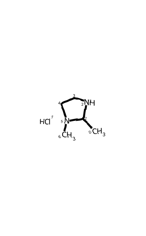 CC1NCCN1C.Cl